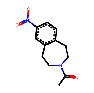 CC(=O)N1CCc2ccc([N+](=O)[O-])cc2CC1